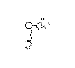 COC(=O)CCCC1CCCCN1C(=O)OC(C)(C)C